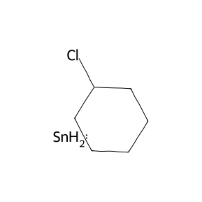 ClC1CCCCC1.[SnH2]